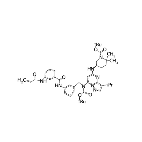 C=CC(=O)Nc1cccc(C(=O)Nc2cccc(CN(C(=O)OC(C)(C)C)c3cc(N[C@@H]4CCC(C)(C)N(C(=O)OC(C)(C)C)C4)nc4c(C(C)C)cnn34)c2)c1